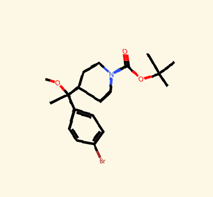 COC(C)(c1ccc(Br)cc1)C1CCN(C(=O)OC(C)(C)C)CC1